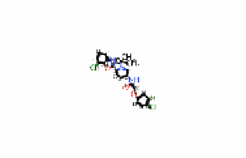 CC(C)(C)N1C[C@@H](NC(=O)COc2ccc(Cl)c(F)c2)CC[C@@H]1c1nc2cccc(Cl)c2o1